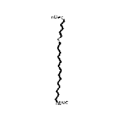 CCCCCCCCCCCCCCCCCCCCCCC[CH]SCCCCCCCCCCCCCCC